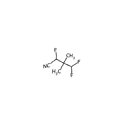 CC(C)(C(F)F)C(F)C#N